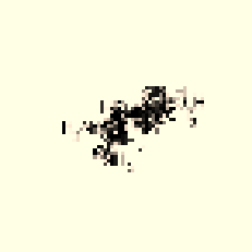 CC(C)[C@H](NC(=O)[C@H](CO)NC(=O)[C@H](CCCCN)NC(=O)[C@@H](N)CCC(N)=O)C(=O)N[C@@H](CCC(=O)O)C(=O)N[C@H](C(=O)O)[C@@H](C)O